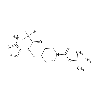 Cc1sccc1N(CC1C=CN(C(=O)OC(C)(C)C)CC1)C(=O)C(F)(F)F